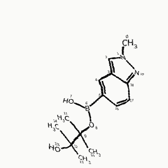 Cn1cc2cc(B(O)OC(C)(C)C(C)(C)O)ccc2n1